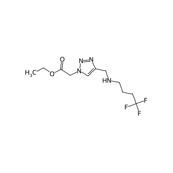 CCOC(=O)Cn1cc(CNCCCC(F)(F)F)nn1